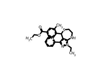 CCOC(=O)c1ccc(C2SCCNc3c2c(-c2ccccn2)nn3CC)c(C)c1